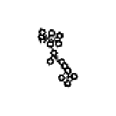 c1ccc([Si]2(c3ccccc3)c3ccccc3N(c3nccc4ccccc34)c3ccc(-c4ccc5c(c4)c4ccccc4n5-c4ccc5cc6ccc7c(c6cc5c4)-c4ccccc4C74c5ccccc5-c5ccccc54)cc32)cc1